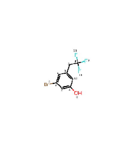 Oc1cc(Br)cc(CC(F)(F)F)c1